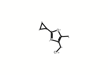 Cc1oc(C2CC2)nc1CCl